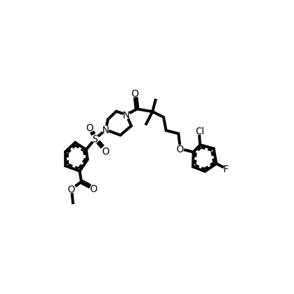 COC(=O)c1cccc(S(=O)(=O)N2CCN(C(=O)C(C)(C)CCCOc3ccc(F)cc3Cl)CC2)c1